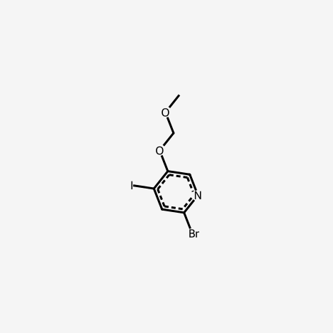 COCOc1cnc(Br)cc1I